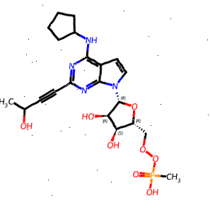 CC(O)C#Cc1nc(NC2CCCC2)c2ccn([C@@H]3O[C@H](COOP(C)(=O)O)[C@@H](O)[C@H]3O)c2n1